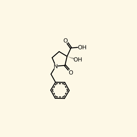 O=C(O)[C@]1(O)CCN(Cc2ccccc2)C1=O